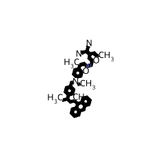 CCC(CC(C)C1c2ccccc2Cc2ccccc21)c1ccc(CN(CC)c2ccc3c(c2)O/C(=C/C2=CC(=C(C#N)C#N)C=C(C)O2)C=C3C)cc1